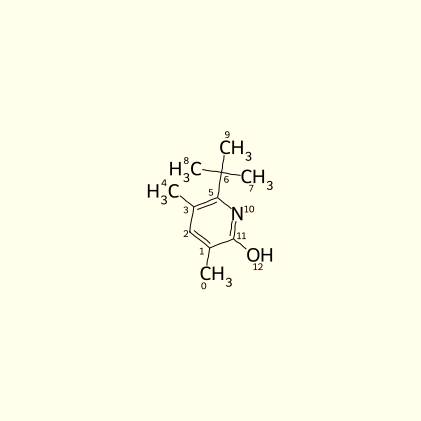 Cc1cc(C)c(C(C)(C)C)nc1O